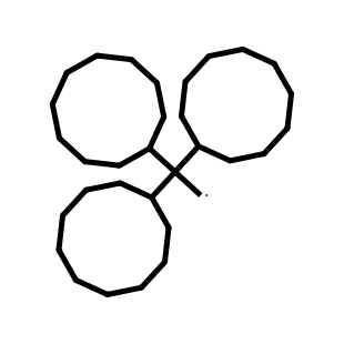 [CH2]C(C1CCCCCCCCC1)(C1CCCCCCCCC1)C1CCCCCCCCC1